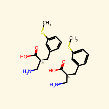 CSc1cccc(C[C@@H](CN)C(=O)O)c1.CSc1cccc(C[C@@H](CN)C(=O)O)c1